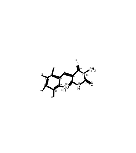 Cc1c(C)c(C)c(/C=C2\C(=O)NC(=O)N(P)C2=O)c(O)c1C